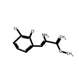 C=C(OC)/C(N)=C/c1cccc(Cl)c1Cl